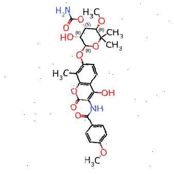 COc1ccc(C(=O)Nc2c(O)c3ccc(O[C@@H]4OC(C)(C)[C@H](OC)[C@@H](OC(N)=O)[C@H]4O)c(C)c3oc2=O)cc1